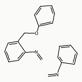 C=Nc1ccccc1.C=Nc1ccccc1COc1ccccc1